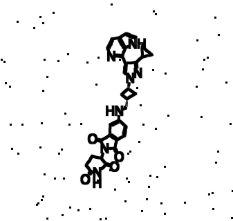 O=C1CCC(N2C(=O)c3ccc(NC[C@H]4C[C@H](n5cc(-c6nccc7cc[nH]c67)c(C6CC6)n5)C4)cc3C2=O)C(=O)N1